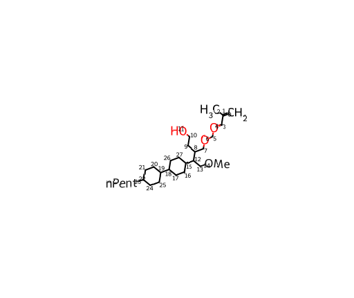 C=C(C)COCOCC(CCO)C(COC)C1CCC(C2CCC(CCCCC)CC2)CC1